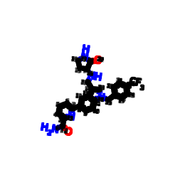 NC(=O)c1cccc(-c2ccc3c(c2)c(CN[C@H]2CCNC2=O)cn3Cc2ccc(C(F)(F)F)cc2)n1